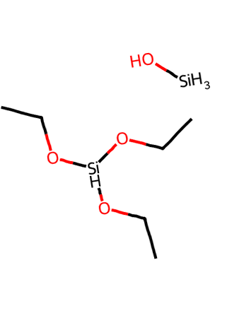 CCO[SiH](OCC)OCC.O[SiH3]